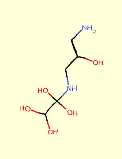 NCC(O)CNC(O)(O)C(O)O